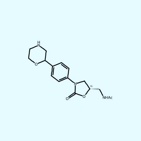 CC(=O)NC[C@H]1CN(c2ccc(C3CNCCO3)cc2)C(=O)O1